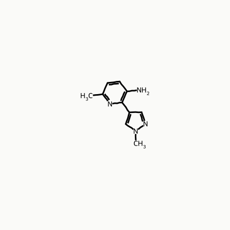 Cc1ccc(N)c(-c2cnn(C)c2)n1